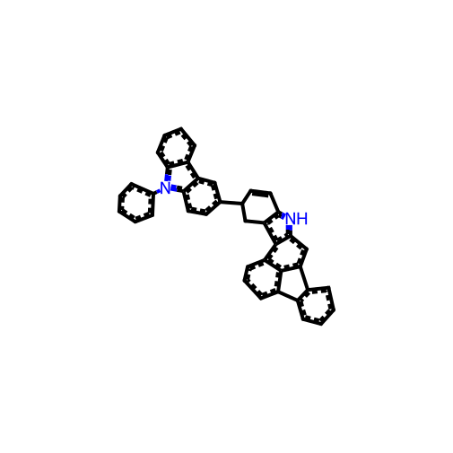 C1=CC(c2ccc3c(c2)c2ccccc2n3-c2ccccc2)Cc2c1[nH]c1cc3c4c(cccc4c21)-c1ccccc1-3